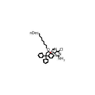 CCCCCCCCCCCCCCCCCCOC(Cn1cnc2c(Cl)nc(N)nc21)CC(c1ccccc1)(c1ccccc1)c1ccccc1